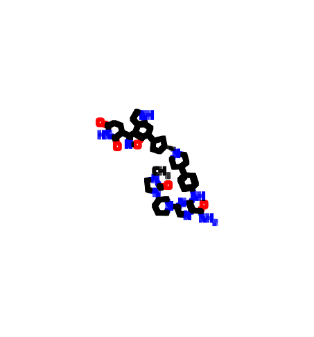 CN1CCN([C@@H]2CCCN(c3cnc(C(N)=O)c(Nc4ccc(C5CCN(C[C@@H]6CCC(C7CC8=C(CCN8)c8c(C9CCC(=O)NC9=O)noc87)C6)CC5)cc4)n3)C2)C1=O